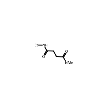 CCNC(=O)C[CH]C(=O)NC